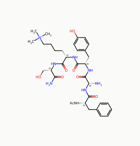 CC(=O)N[C@@H](Cc1ccccc1)C(=O)N[C@@H](N)C(=O)N[C@@H](Cc1ccc(O)cc1)C(=O)N[C@@H](CCCC[N+](C)(C)C)C(=O)N[C@@H](CO)C(N)=O